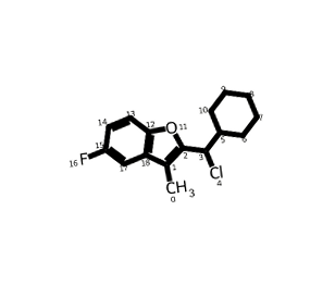 Cc1c(C(Cl)C2CCCCC2)oc2ccc(F)cc12